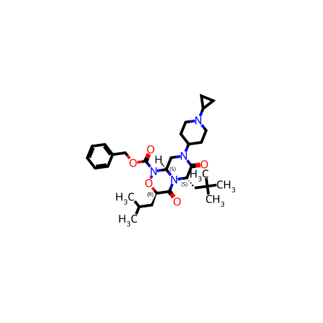 CC(C)C[C@H]1ON(C(=O)OCc2ccccc2)[C@H]2CN(C3CCN(C4CC4)CC3)C(=O)[C@H](CC(C)(C)C)N2C1=O